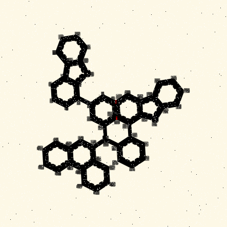 c1cc(-c2cccc3c2oc2ccccc23)cc(N(c2ccccc2-c2cccc3c2oc2ccccc23)c2cc3ccccc3c3ccccc23)c1